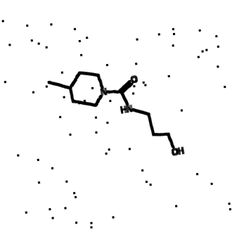 CC1CCN(C(=O)NCCCO)CC1